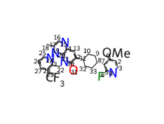 COc1ccnc(F)c1[C@H]1CC[C@H](c2cc3ncc(C)nc3n(Cc3ncccc3C(F)(F)F)c2=O)CC1